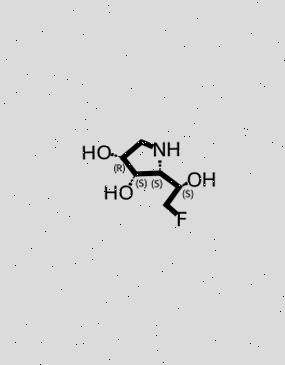 O[C@H]1[C@@H]([C@H](O)CF)NC[C@H]1O